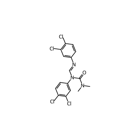 CN(C)C(=O)N(C=Nc1ccc(Cl)c(Cl)c1)c1ccc(Cl)c(Cl)c1